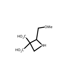 COCC1NCC1(C(=O)O)C(=O)O